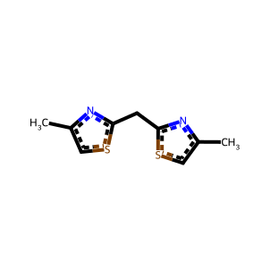 Cc1csc(Cc2nc(C)cs2)n1